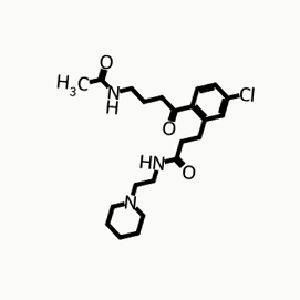 CC(=O)NCCCC(=O)c1ccc(Cl)cc1CCC(=O)NCCN1CCCCC1